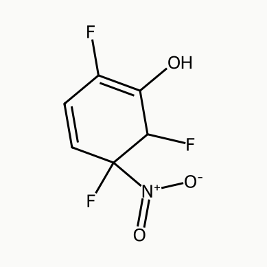 O=[N+]([O-])C1(F)C=CC(F)=C(O)C1F